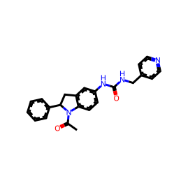 CC(=O)N1c2ccc(NC(=O)NCc3ccncc3)cc2CC1c1ccccc1